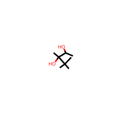 CC(O)C(C)(O)C(C)(C)C